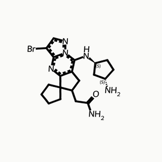 NC(=O)CC1Cc2c(nc3c(Br)cnn3c2N[C@H]2CC[C@H](N)C2)C12CCCC2